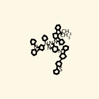 CC1(C)c2ccccc2-c2ccc3c(c21)c1ccccc1n3-c1nc(N(c2ccccc2)c2ccc3c4ccccc4n(-c4ccccc4)c3c2)nc2ccc(-n3c4ccccc4c4ccc(-c5ccc6c(c5)sc5ccccc56)cc43)cc12